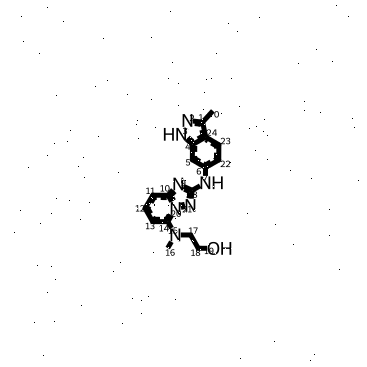 Cc1n[nH]c2cc(Nc3nc4cccc(N(C)CCO)n4n3)ccc12